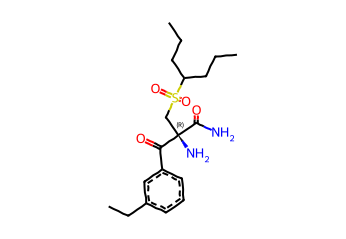 CCCC(CCC)S(=O)(=O)C[C@](N)(C(N)=O)C(=O)c1cccc(CC)c1